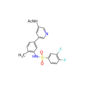 CC(=O)Nc1cncc(-c2ccc(C)c(NS(=O)(=O)c3ccc(F)c(F)c3)c2)c1